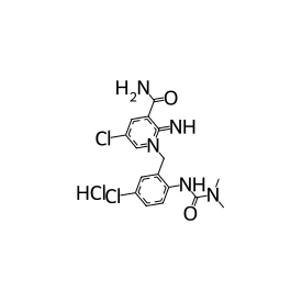 CN(C)C(=O)Nc1ccc(Cl)cc1Cn1cc(Cl)cc(C(N)=O)c1=N.Cl